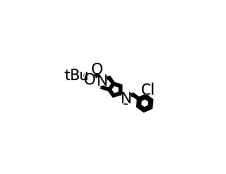 CN(Cc1ccccc1Cl)C1CC2CN(C(=O)OC(C)(C)C)CC2C1